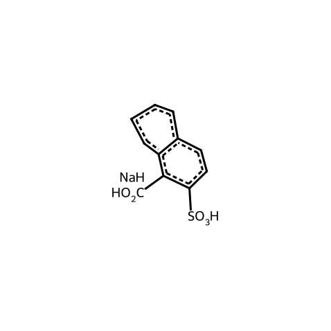 O=C(O)c1c(S(=O)(=O)O)ccc2ccccc12.[NaH]